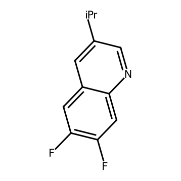 CC(C)c1cnc2cc(F)c(F)cc2c1